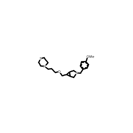 COc1ccc(CN2CC3C(COCCCN4CCSCC4)C3C2)cc1